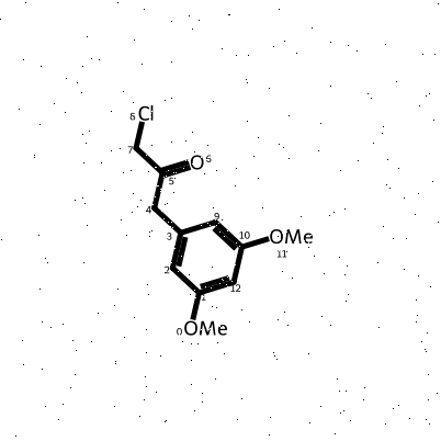 COc1cc(CC(=O)CCl)cc(OC)c1